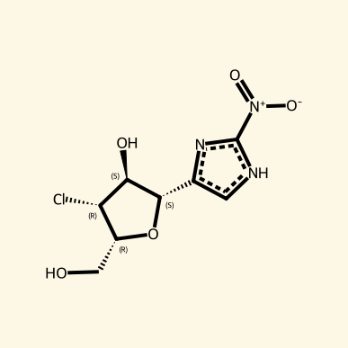 O=[N+]([O-])c1nc([C@@H]2O[C@H](CO)[C@H](Cl)[C@H]2O)c[nH]1